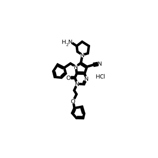 Cl.N#Cc1c(N2CCCC(N)C2)n(Cc2ccccc2)c2c(=O)n(CCOc3ccccc3)cnc12